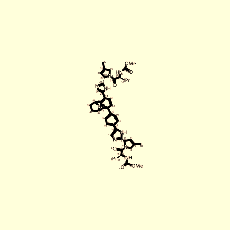 COC(=O)N[C@H](C(=O)N1CC(C)=C[C@H]1c1ncc(-c2ccc(-c3ccc(-c4cnc([C@@H]5C=C(C)CN5C(=O)[C@@H](NC(=O)OC)C(C)C)[nH]4)c4c3C3CCC4N3C)cc2)[nH]1)C(C)C